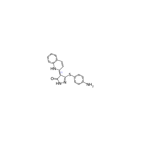 Nc1ccc(SC2=NNC(=O)/C2=C2/C=Cc3ccccc3N2)cc1